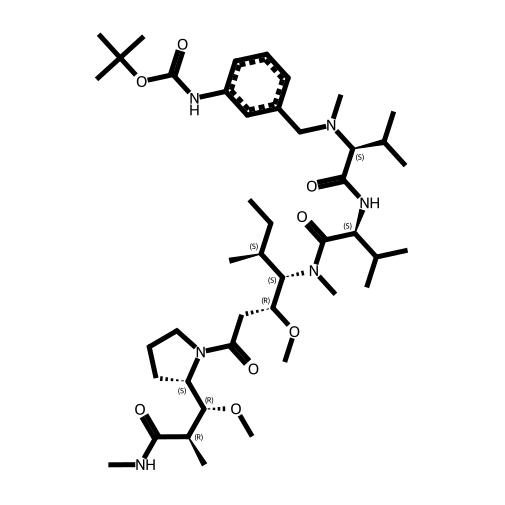 CC[C@H](C)[C@@H]([C@@H](CC(=O)N1CCC[C@H]1[C@H](OC)[C@@H](C)C(=O)NC)OC)N(C)C(=O)[C@@H](NC(=O)[C@H](C(C)C)N(C)Cc1cccc(NC(=O)OC(C)(C)C)c1)C(C)C